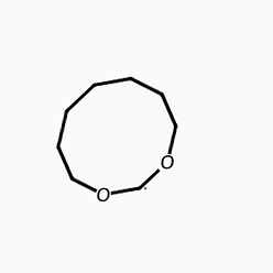 [CH]1OCCCCCCCO1